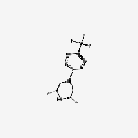 C[C@@H]1CN(c2ccc(C(F)(F)F)nc2)C[C@H](C)N1